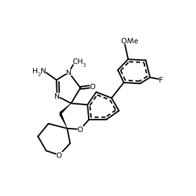 COc1cc(F)cc(-c2ccc3c(c2)[C@]2(C[C@@]4(CCCOC4)O3)N=C(N)N(C)C2=O)c1